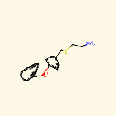 NCCSCc1ccc(Oc2ccccc2)cc1